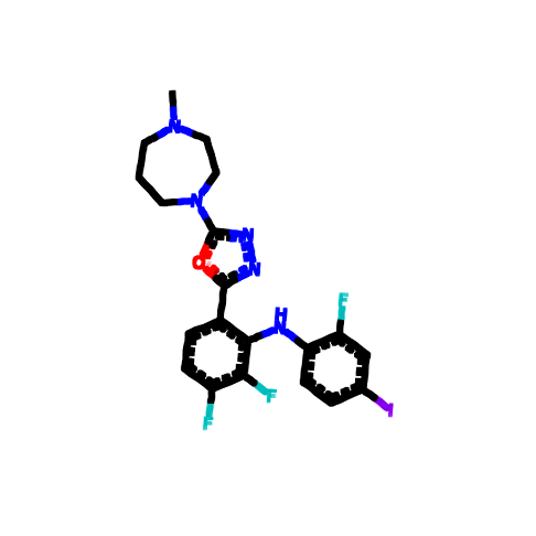 CN1CCCN(c2nnc(-c3ccc(F)c(F)c3Nc3ccc(I)cc3F)o2)CC1